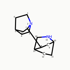 C1CN2CCC1CC2C1CC2CCC1CN2